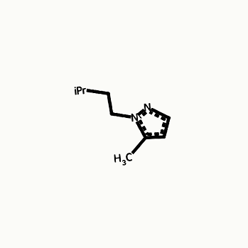 Cc1ccnn1CCC(C)C